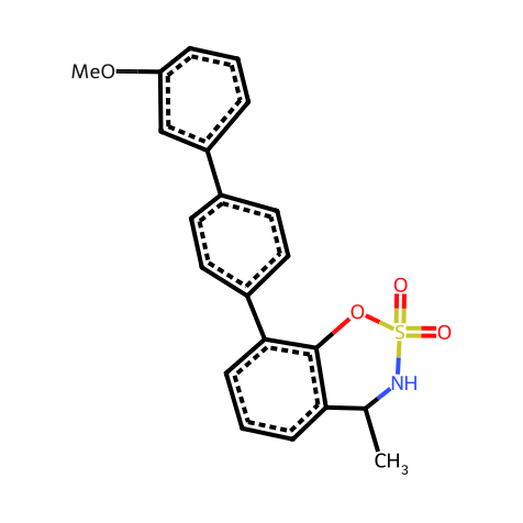 COc1cccc(-c2ccc(-c3cccc4c3OS(=O)(=O)NC4C)cc2)c1